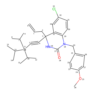 C=CCC1(C#C[Si](C(C)C)(C(C)C)C(C)C)NC(=O)N(Cc2ccc(OC)cc2)c2ccc(Cl)cc21